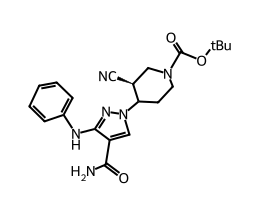 CC(C)(C)OC(=O)N1CCC(n2cc(C(N)=O)c(Nc3ccccc3)n2)[C@@H](C#N)C1